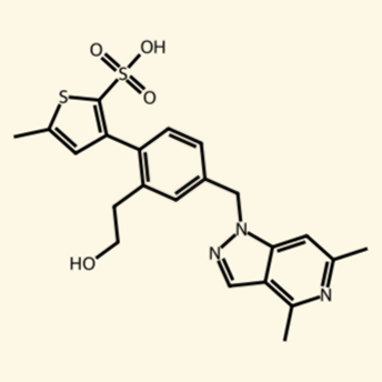 Cc1cc2c(cnn2Cc2ccc(-c3cc(C)sc3S(=O)(=O)O)c(CCO)c2)c(C)n1